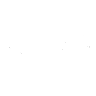 Cc1cn2cc(-c3cc(F)c4c(=O)n(C5CCCNCC5)cnc4c3)cc(F)c2n1